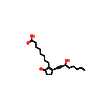 CCCCCC(O)C#CC1=C(CCCCCCCC(=O)O)C(=O)CC1